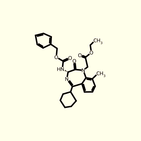 CCOC(=O)CN1C(=O)[C@@H](NC(=O)OCc2ccccc2)N=C(C2CCCCC2)c2cccc(C)c21